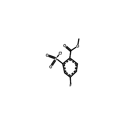 COC(=O)c1ccc(F)cc1S(=O)(=O)Cl